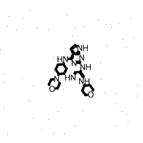 N=C/C(=C\NC1CCOCC1)Nc1nc(NC2CCC(N3CCOCC3)CC2)c2cc[nH]c2n1